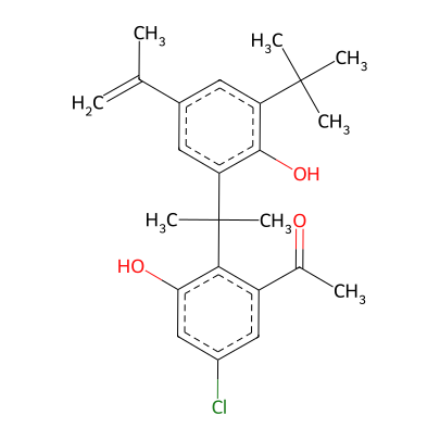 C=C(C)c1cc(C(C)(C)C)c(O)c(C(C)(C)c2c(O)cc(Cl)cc2C(C)=O)c1